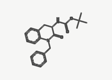 CC(C)(C)OC(=O)NC1Cc2ccccc2N(Cc2ccccc2)C1=O